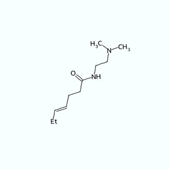 CC/C=C/CCC(=O)NCCN(C)C